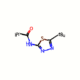 CC(C)C(=O)Nc1nnc(C(C)(C)C)s1